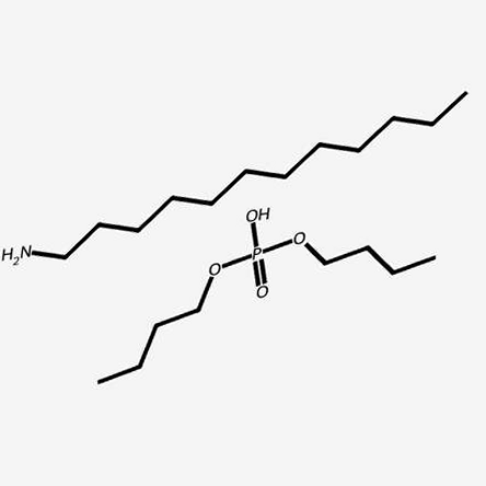 CCCCCCCCCCCCN.CCCCOP(=O)(O)OCCCC